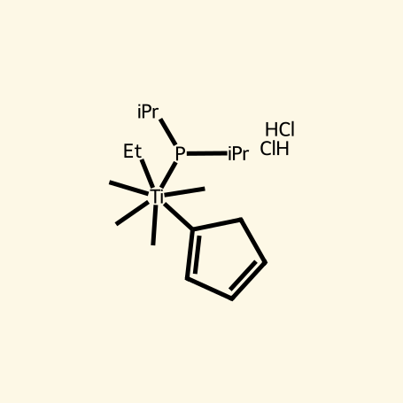 C[CH2][Ti]([CH3])([CH3])([CH3])([CH3])([C]1=CC=CC1)[P](C(C)C)C(C)C.Cl.Cl